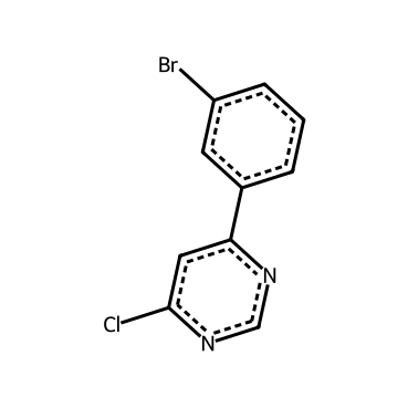 Clc1cc(-c2cccc(Br)c2)ncn1